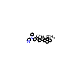 CC1(C)c2cc(-c3cc4c5c(ccc6cccc(c65)C4(C)C)c3)ccc2-c2ccc(N(c3ccccc3)c3cccnc3)cc21